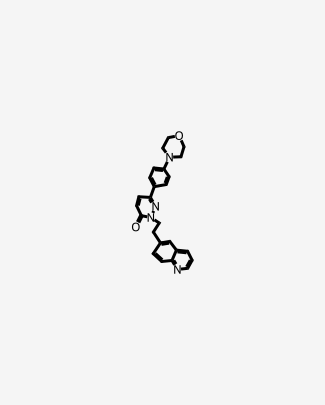 O=c1ccc(-c2ccc(N3CCOCC3)cc2)nn1CCc1ccc2ncccc2c1